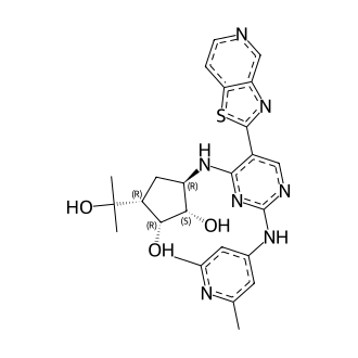 Cc1cc(Nc2ncc(-c3nc4cnccc4s3)c(N[C@@H]3C[C@@H](C(C)(C)O)[C@@H](O)[C@H]3O)n2)cc(C)n1